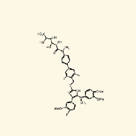 COc1cc(-c2nc(SCc3c(F)cc(-c4ccc(N(C)C(=O)[C@@H](O)[C@@H](O)C(O)C(O)C(=O)O)cc4)cc3F)[nH]c2N(C)c2ccc(OC)c(OC)c2)ccc1F